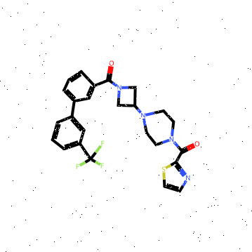 O=C(c1cccc(-c2cccc(C(F)(F)F)c2)c1)N1CC(N2CCN(C(=O)c3nccs3)CC2)C1